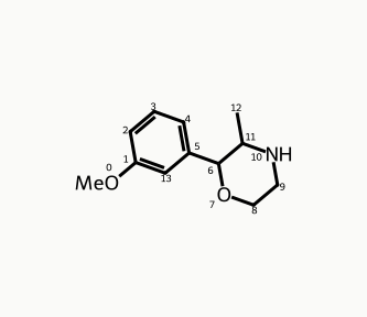 COc1cccc(C2OCCNC2C)c1